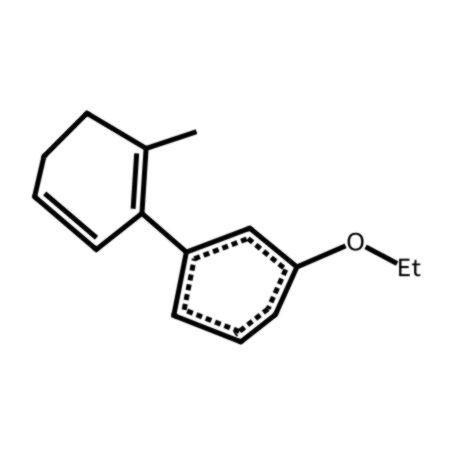 CCOc1cccc(C2=C(C)CCC=C2)c1